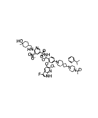 COc1nc2[nH]cc(F)c2cc1Oc1cc(N2CCC3(CC2)CC(N2CCN(C(C)=O)C[C@H]2c2ccccc2C(C)C)C3)ccc1C(=O)NS(=O)(=O)c1cnc(NCC2CCC(C)(O)CC2)c([N+](=O)[O-])c1